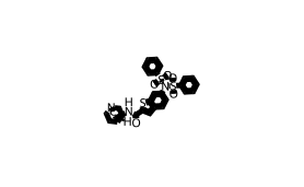 O=C(N[C@H]1CN2CCC1CC2)c1cc2ccc(N(S(=O)(=O)c3ccccc3)S(=O)(=O)c3ccccc3)cc2s1